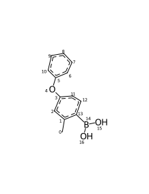 Cc1cc(Oc2ccccc2)ccc1B(O)O